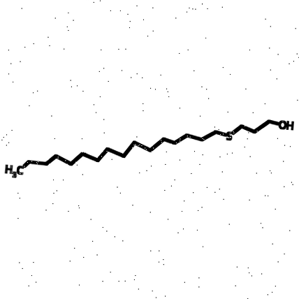 CCCCCCCCCCCCCCCCSCCCO